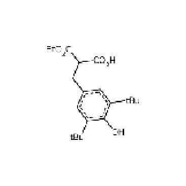 CCOC(=O)C(Cc1cc(C(C)(C)C)c(O)c(C(C)(C)C)c1)C(=O)O